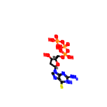 Nc1nc2c(ncn2[C@H]2CC(O)[C@@H](COP(=O)(O)OP(=O)(O)OP(=O)(O)O)O2)c(=S)[nH]1